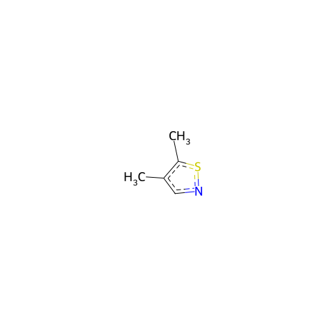 Cc1cnsc1C